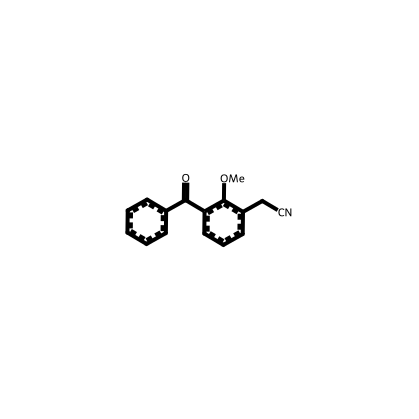 COc1c(CC#N)cccc1C(=O)c1ccccc1